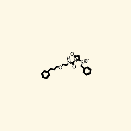 O=C1CC([S+]([O-])Cc2ccccc2)N1C(=O)NCCOCCCc1ccccc1